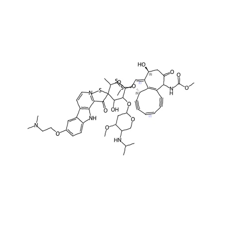 COC(=O)NC1C(=O)C[C@H](O)/C(=C/CS(C)=S)C2=C1C#C/C=C\C#C[C@@H]2OC1OC(C)C(SC)(C(=O)c2nccc3c2[nH]c2ccc(OCCN(C)C)cc23)C(O)C1OC1CC(OC)C(NC(C)C)CO1